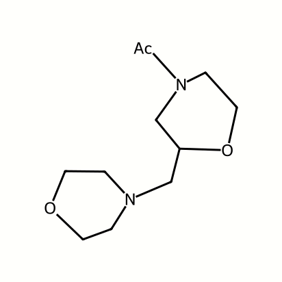 CC(=O)N1CCOC(CN2CCOCC2)C1